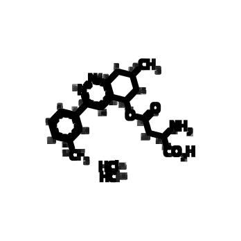 CC1Cc2nnc(-c3cccc(C(F)(F)F)c3)cc2C(OC(=O)CC(N)C(=O)O)C1.Cl.Cl